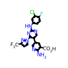 Nc1ncc(-c2cnc(Nc3ccc(F)c(Cl)c3)nc2-n2ccc(C(F)(F)F)n2)cc1C(=O)O